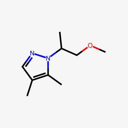 COCC(C)n1ncc(C)c1C